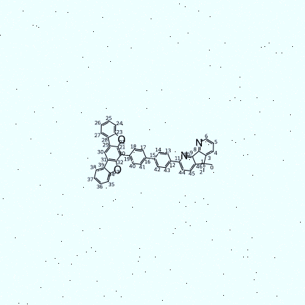 CC1(C)c2cccnc2-c2nc(-c3ccc(-c4ccc(-c5c6oc7ccccc7c6cc6c5oc5ccccc56)cc4)cc3)ccc21